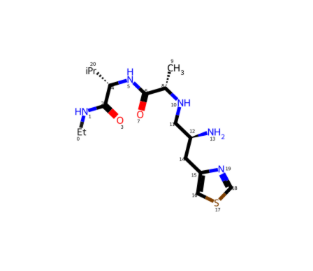 CCNC(=O)[C@@H](NC(=O)[C@H](C)NC[C@@H](N)Cc1cscn1)C(C)C